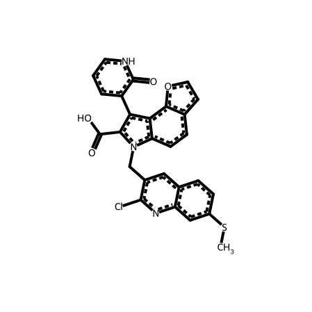 CSc1ccc2cc(Cn3c(C(=O)O)c(-c4ccc[nH]c4=O)c4c5occc5ccc43)c(Cl)nc2c1